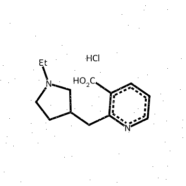 CCN1CCC(Cc2ncccc2C(=O)O)C1.Cl